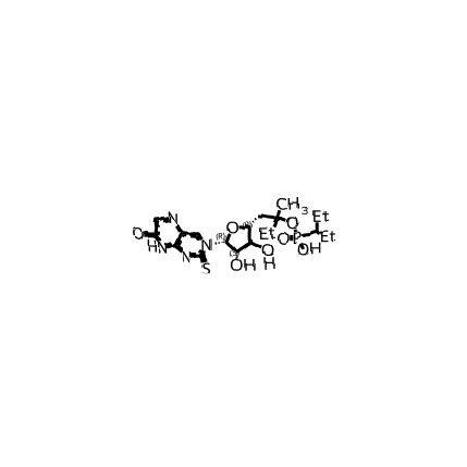 CCC(CC)P(=O)(O)OC(C)(CC)C[C@H]1O[C@@H](n2cc3ncc(=O)[nH]c3nc2=S)[C@@H](O)C1O